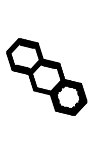 C1=CC2=Cc3ccccc3CC2=CC1